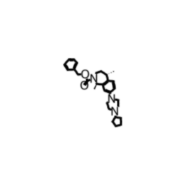 C[C@@H]1c2cc(N3CCN(C4CCCC4)CC3)ccc2[C@@H](C)CCN1C(=O)OCc1ccccc1